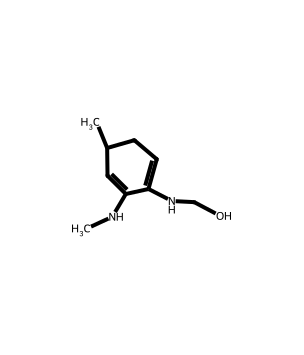 CNC1=CC(C)CC=C1NCO